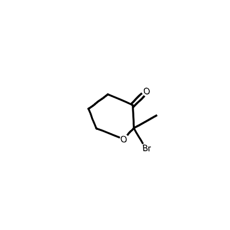 CC1(Br)OCCCC1=O